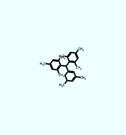 CC1=CC(C)[CH]C(C(c2c(C)cc(C)cc2C)c2c(C)cc(C)cc2C)=C1